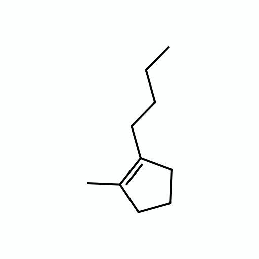 CCCCC1=C(C)CCC1